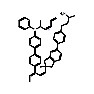 C=C/C=C\C(C)N(c1ccccc1)c1ccc(-c2ccc(C(/C=C\C3(C)Cc4ccc(-c5ccc(CCC(C)N)cc5)cc4C3)=C/C)cc2)cc1